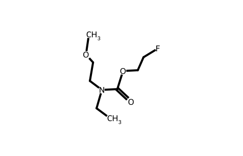 CCN(CCOC)C(=O)OCCF